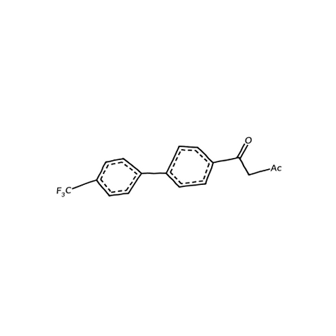 CC(=O)CC(=O)c1ccc(-c2ccc(C(F)(F)F)cc2)cc1